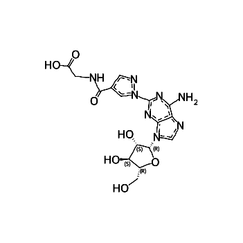 Nc1nc(-n2cc(C(=O)NCC(=O)O)cn2)nc2c1ncn2[C@@H]1O[C@H](CO)[C@@H](O)[C@@H]1O